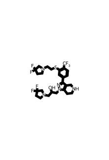 OC(CN1CCC(F)(F)C1)Cn1nc(-c2ccc(C(F)(F)F)c(SCCN3CCC(F)(F)C3)c2)c2c1CCNC2